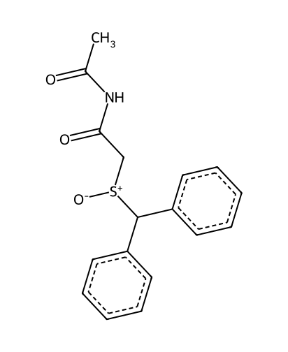 CC(=O)NC(=O)C[S+]([O-])C(c1ccccc1)c1ccccc1